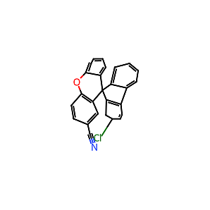 N#Cc1ccc2c(c1)C1(C3=C(C=CC(Cl)C3)c3ccccc31)c1ccccc1O2